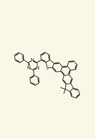 CC1(C)c2ccccc2-c2cc3c4ccccc4c4cc5c(cc4c3cc21)sc1c(-c2nc(-c3ccccc3)nc(-c3ccccc3)n2)cccc15